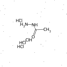 CC(=O)NN.Cl.Cl.Cl.Cl